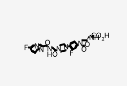 O=C(O)NC[C@H]1CN(c2ccc(N3CCN(C(=O)CNC(=O)c4cn5cc(F)ccc5n4)CC3)c(F)c2)C(=O)O1